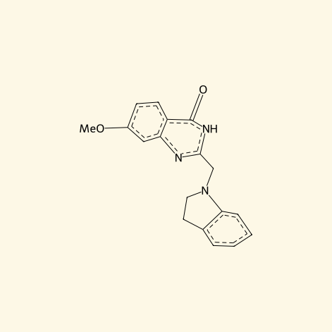 COc1ccc2c(=O)[nH]c(CN3CCc4ccccc43)nc2c1